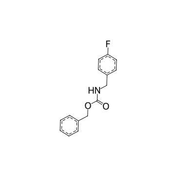 O=C(NCc1ccc(F)cc1)OCc1ccccc1